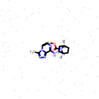 CC(C)(C)OC(=O)N1[C@@H]2CC[C@H]1[C@H](Nc1nccn3c(C(F)(F)F)nnc13)C2